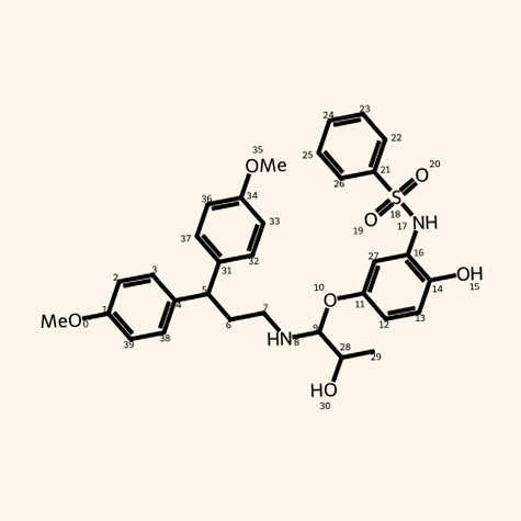 COc1ccc(C(CCNC(Oc2ccc(O)c(NS(=O)(=O)c3ccccc3)c2)C(C)O)c2ccc(OC)cc2)cc1